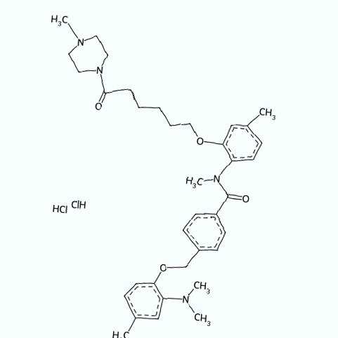 Cc1ccc(N(C)C(=O)c2ccc(COc3ccc(C)cc3N(C)C)cc2)c(OCCCCCC(=O)N2CCN(C)CC2)c1.Cl.Cl